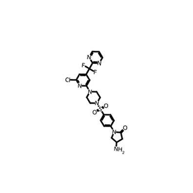 NC1CC(=O)N(c2ccc(S(=O)(=O)N3CCN(c4cc(C(F)(F)c5ncccn5)cc(Cl)n4)CC3)cc2)C1